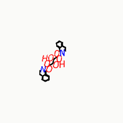 O=C(OC1N=CCc2ccccc21)C(O)C(O)C(=O)OC1N=CCc2ccccc21